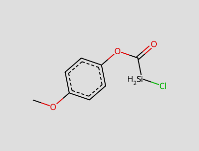 COc1ccc(OC(=O)[SiH2]Cl)cc1